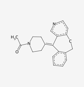 CC(=O)N1CCC(=C2c3ccccc3CCc3ccncc32)CC1